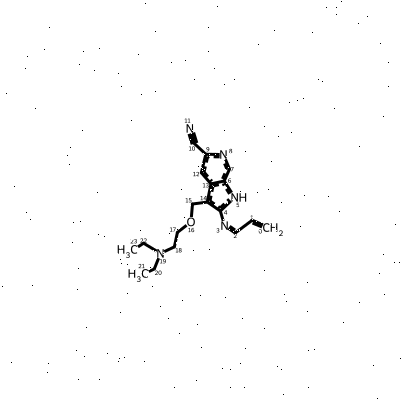 C=C/C=N\c1[nH]c2cnc(C#N)cc2c1COCCN(CC)CC